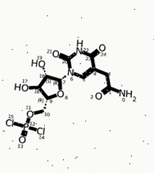 NC(=O)Cc1cn([C@@H]2O[C@H](COP(=O)(Cl)Cl)C(O)[C@@H]2O)c(=O)[nH]c1=O